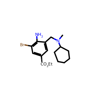 CCOC(=O)c1cc(Br)c(N)c(CN(C)C2CCCCC2)c1